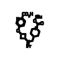 CC(C)N(CC1CCN(C(=O)OC(C)(C)C)CC1)C1CC(Oc2ccc(C(=O)O)nc2)C1